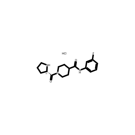 Cl.O=C(Nc1cccc(F)c1)C1CCN(C(=O)[C@@H]2CCCN2)CC1